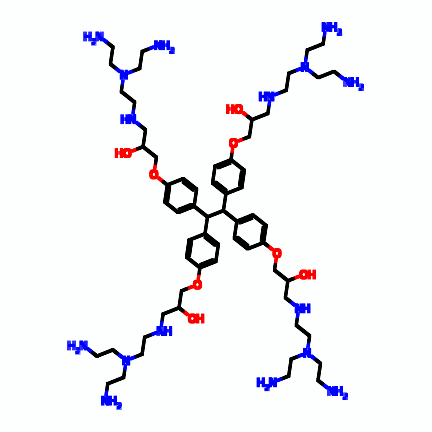 NCCN(CCN)CCNCC(O)COc1ccc(C(c2ccc(OCC(O)CNCCN(CCN)CCN)cc2)C(c2ccc(OCC(O)CNCCN(CCN)CCN)cc2)c2ccc(OCC(O)CNCCN(CCN)CCN)cc2)cc1